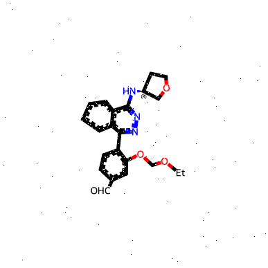 CCOCOc1cc(C=O)ccc1-c1nnc(N[C@@H]2CCOC2)c2ccccc12